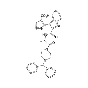 CC(NC(=O)c1[nH]c2ccccc2c1-n1nncc1C(=O)O)C(=O)N1CCN(C(c2ccccc2)c2ccccc2)CC1